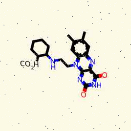 Cc1cc2nc3c(=O)[nH]c(=O)nc-3n(CCNC3CCCCC3C(=O)O)c2cc1C